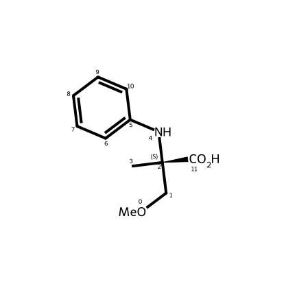 COC[C@](C)(Nc1ccccc1)C(=O)O